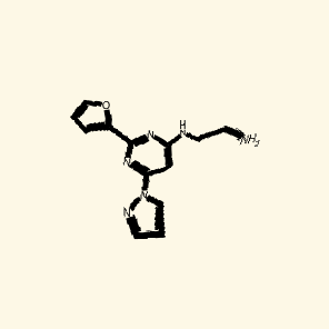 NCCNc1cc(-n2cccn2)nc(-c2ccco2)n1